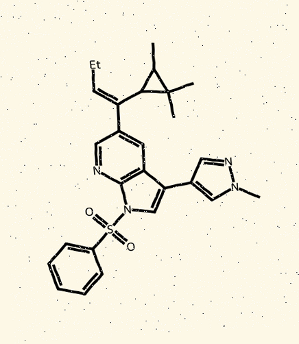 CC/C=C(/c1cnc2c(c1)c(-c1cnn(C)c1)cn2S(=O)(=O)c1ccccc1)C1C(C)C1(C)C